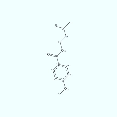 COc1cc[si](C(=O)OCCC(C)C)cc1